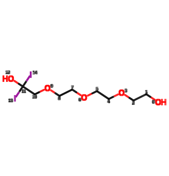 OCCOCCOCCOCC(O)(I)I